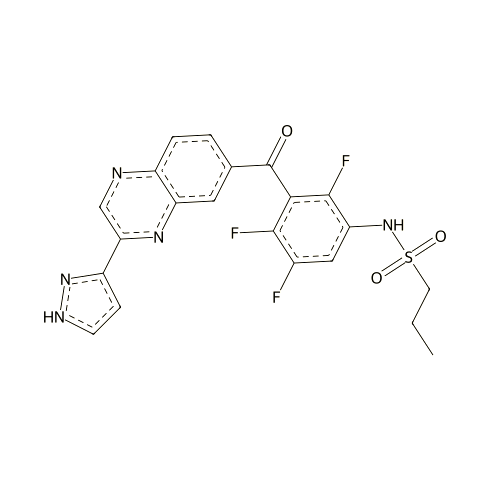 CCCS(=O)(=O)Nc1cc(F)c(F)c(C(=O)c2ccc3ncc(-c4cc[nH]n4)nc3c2)c1F